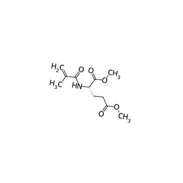 C=C(C)C(=O)N[C@@H](CCC(=O)OC)C(=O)OC